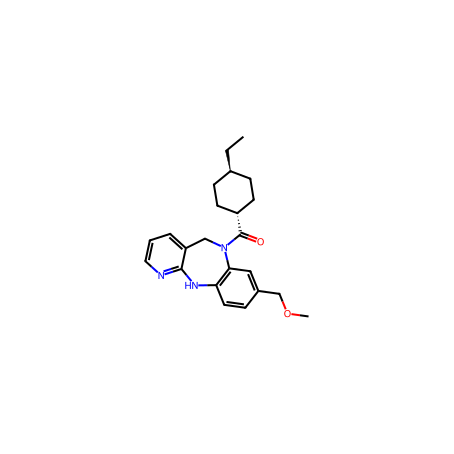 CC[C@H]1CC[C@H](C(=O)N2Cc3cccnc3Nc3ccc(COC)cc32)CC1